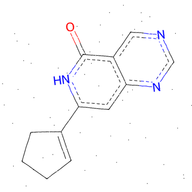 O=c1[nH]c(C2=CCCC2)cc2ncncc12